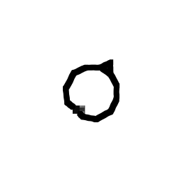 C1CCNCCCCC2CC2CC1